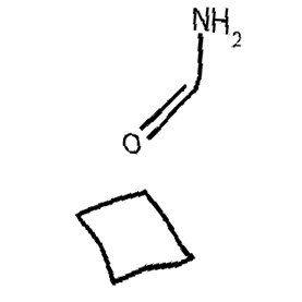 C1CCC1.NC=O